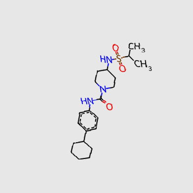 CC(C)S(=O)(=O)NC1CCN(C(=O)Nc2ccc(C3CCCCC3)cc2)CC1